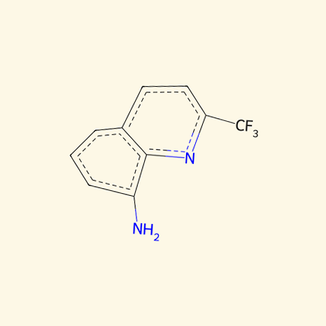 Nc1cccc2ccc(C(F)(F)F)nc12